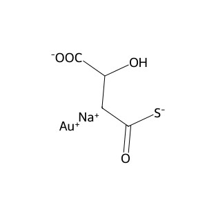 O=C([S-])CC(O)C(=O)[O-].[Au+].[Na+]